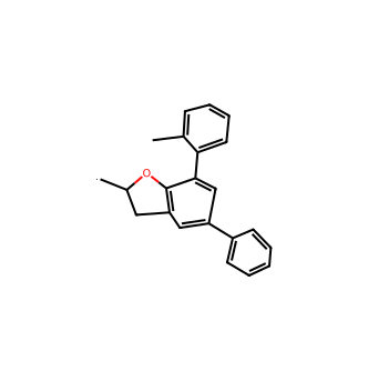 [CH2]C1Cc2cc(-c3ccccc3)cc(-c3ccccc3C)c2O1